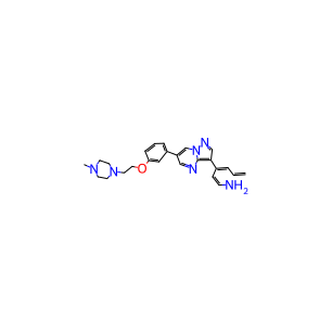 C=C/C=C(\C=C/N)c1cnn2cc(-c3cccc(OCCN4CCN(C)CC4)c3)cnc12